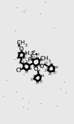 CCOc1ccc(Cc2cc(C3[C@H](OCc4ccccc4)[C@@H](OCc4ccccc4)[C@H](C)[C@@H](CC)C3(F)F)ccc2Cl)cc1